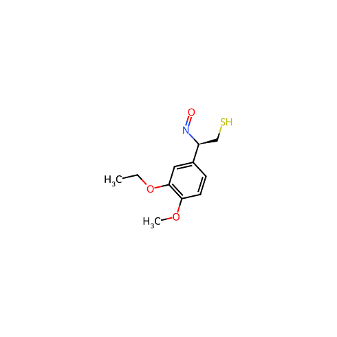 CCOc1cc([C@H](CS)N=O)ccc1OC